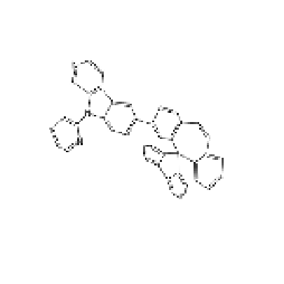 C1=Cc2ccc(-c3ccc4c(c3)c3ccncc3n4-c3ccccn3)cc2C2(c3ccccc31)c1ccccc1-c1ccccc12